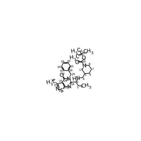 CCC(NCC1CCCN(C(=O)OC(C)(C)C)C1)c1nc2snc(C)c2c(=O)n1Cc1ccccc1